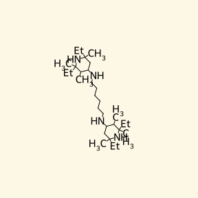 CCC1(C)CC(NCCCCCCNC2CC(C)(CC)NC(C)(CC)C2C)C(C)C(C)(CC)N1